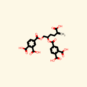 C=C(CCC(COC(=O)c1ccc(C(=O)O)c(C(=O)O)c1)OC(=O)c1ccc(C(=O)O)c(C(=O)O)c1)C(=O)O